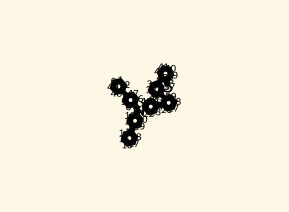 c1ccc(-c2ccc(N(c3ccc(-c4ccccc4)cc3)c3ccc(-c4ccccc4-c4cccc5c4sc4ccccc45)cc3)cc2)cc1